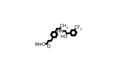 COC(=O)/C=C/c1ccc(CC(C)NCC(O)c2cccc(C(F)(F)F)c2)cc1